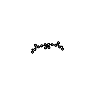 CC1(C)c2ccccc2-c2ccc(-n3c4ccccc4c4cc(-c5ccc(-c6ccc7c(c6)C6(c8ccccc8-c8ccccc86)c6cc(-c8ccc(-c9ccc%10c(c9)c9ccccc9n%10-c9ccc%10c(c9)C(C)(C)c9ccccc9-%10)cc8)ccc6-7)cc5)ccc43)cc21